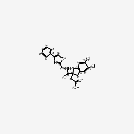 O=C(O)CC1(C(=O)NCc2nc(-c3ccccc3)cs2)Cc2cc(Cl)c(Cl)cc2C1